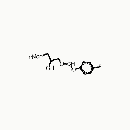 CCCCCCCCCCC(O)COBOc1ccc(F)cc1